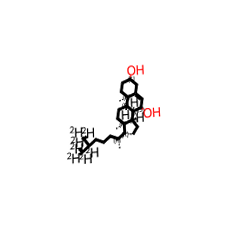 [2H]C([2H])([2H])C([2H])(CCC[C@@H](C)[C@H]1CC[C@H]2[C@@H]3[C@H](O)C=C4C[C@@H](O)CC[C@]4(C)[C@H]3CC[C@]12C)C([2H])([2H])[2H]